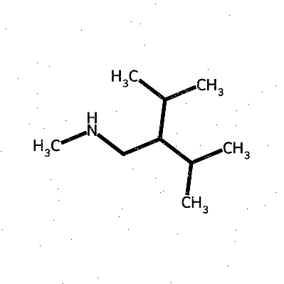 CNCC(C(C)C)C(C)C